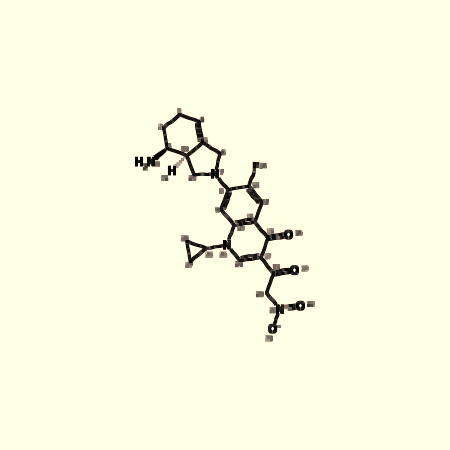 N[C@H]1CCC=C2CN(c3cc4c(cc3F)c(=O)c(C(=O)C[N+](=O)[O-])cn4C3CC3)C[C@H]21